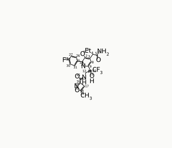 CCOc1c(CC(N)=O)cc([C@@](O)(CNC(=O)c2cc(C)on2)C(F)(F)F)nc1-c1ccc(F)cc1